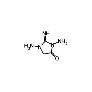 N=C1N(N)CC(=O)N1N